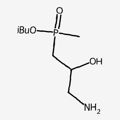 CC(C)COP(C)(=O)CC(O)CN